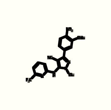 CC(C)COc1cc(-c2nn(C(C)(C)C)c(Nc3cccc(C(F)(F)F)n3)c2C#N)ccc1[N+](=O)[O-]